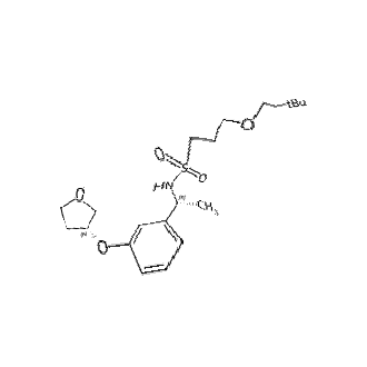 C[C@@H](NS(=O)(=O)CCCOCC(C)(C)C)c1cccc(O[C@@H]2CCOC2)c1